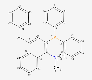 CN(C)c1c(P(c2ccccc2)c2ccccc2)cc(Cc2ccccc2)c2ccccc12